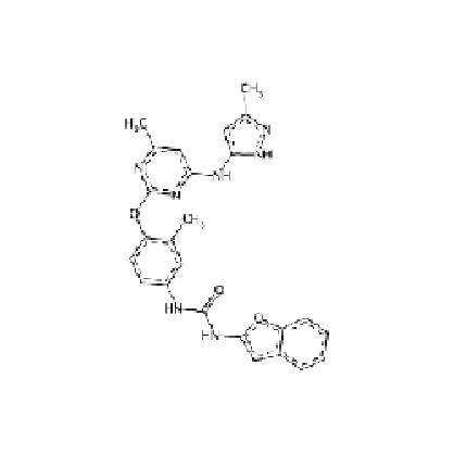 Cc1cc(Nc2cc(C)nc(Oc3ccc(NC(=O)Nc4cc5ccccc5o4)cc3C)n2)[nH]n1